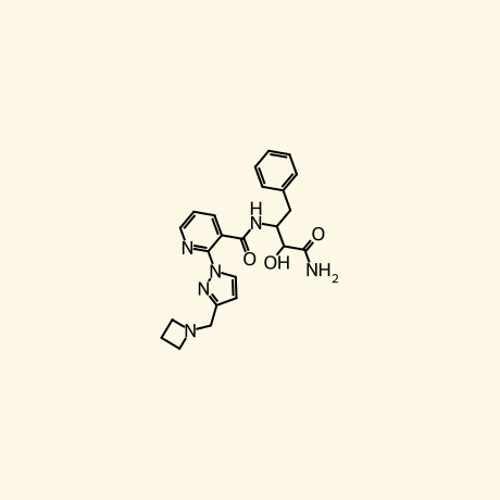 NC(=O)C(O)C(Cc1ccccc1)NC(=O)c1cccnc1-n1ccc(CN2CCC2)n1